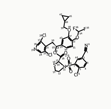 N#Cc1ccc(Cl)c(S(=O)(=O)N2CCS[C@H]2C(=O)O[C@@H](Cc2c(Cl)cncc2Cl)c2ccc(OC(F)F)c(OCC3CC3)c2)c1